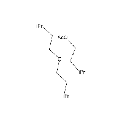 CC(=O)OCCC(C)C.CC(C)CCOCCC(C)C